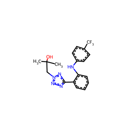 CC(C)(O)Cn1nnc(-c2ccccc2Nc2ccc(C(F)(F)F)cc2)n1